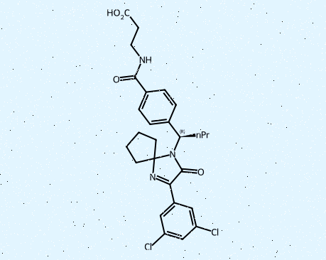 CCC[C@H](c1ccc(C(=O)NCCC(=O)O)cc1)N1C(=O)C(c2cc(Cl)cc(Cl)c2)=NC12CCCC2